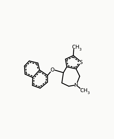 Cc1cc2c(s1)CN(C)CCC2Oc1cccc2ccccc12